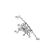 CC(=O)OCC(=O)[C@@]12OC(C)(C)O[C@@H]1C[C@H]1[C@@H]3C[C@H](F)C4=CC(=O)C=C[C@]4(C)[C@@]3(F)[C@@H](O)C[C@@]12C.CCCCCCCCCCCCCCCCCCCCCCO